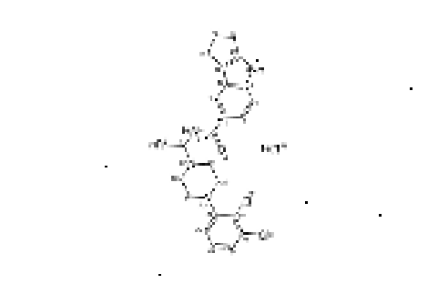 CCCC(NC(=O)c1ccc2[nH]c3c(c2c1)CCC3)N1CCN(c2cccc(Cl)c2Cl)CC1.Cl